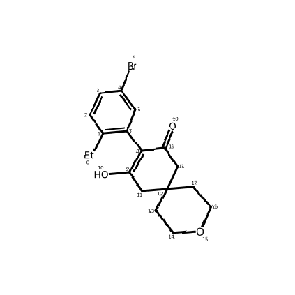 CCc1ccc(Br)cc1C1=C(O)CC2(CCOCC2)CC1=O